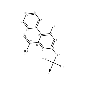 Cc1cc(OC(F)(F)F)cc(C(=O)O)c1-c1ccccc1